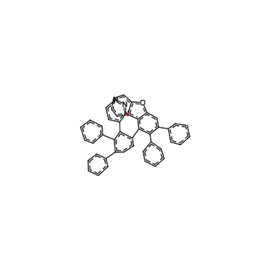 c1ccc(-c2ccc(-c3c(-c4ccccc4)c(-c4ccccc4)cc4oc5ccccc5c34)c(-c3ccnnn3)c2-c2ccccc2)cc1